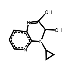 OC1=Nc2cccnc2N(C2CC2)C1O